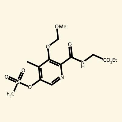 CCOC(=O)CNC(=O)c1ncc(OS(=O)(=O)C(F)(F)F)c(C)c1OCOC